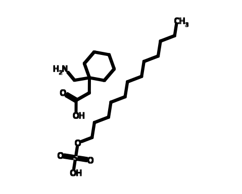 CCCCCCCCCCCCOS(=O)(=O)O.NCC1(CC(=O)O)CCCCC1